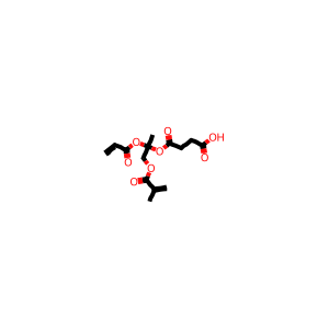 C=CC(=O)OC(C)(COC(=O)C(=C)C)OC(=O)CCC(=O)O